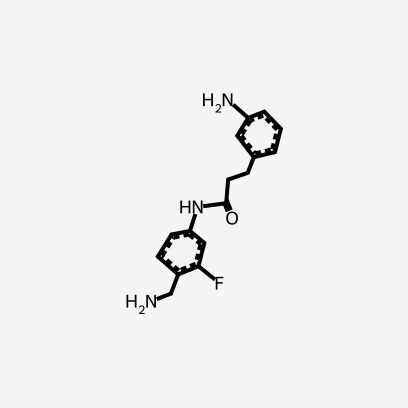 NCc1ccc(NC(=O)CCc2cccc(N)c2)cc1F